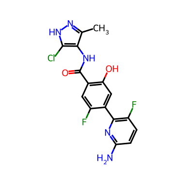 Cc1n[nH]c(Cl)c1NC(=O)c1cc(F)c(-c2nc(N)ccc2F)cc1O